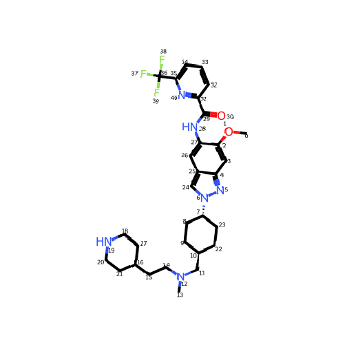 COc1cc2nn([C@H]3CC[C@H](CN(C)CCC4CCNCC4)CC3)cc2cc1NC(=O)c1cccc(C(F)(F)F)n1